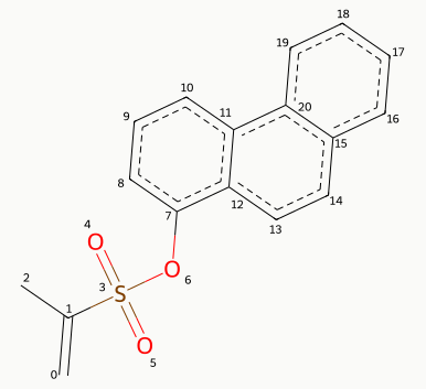 C=C(C)S(=O)(=O)Oc1cccc2c1ccc1ccccc12